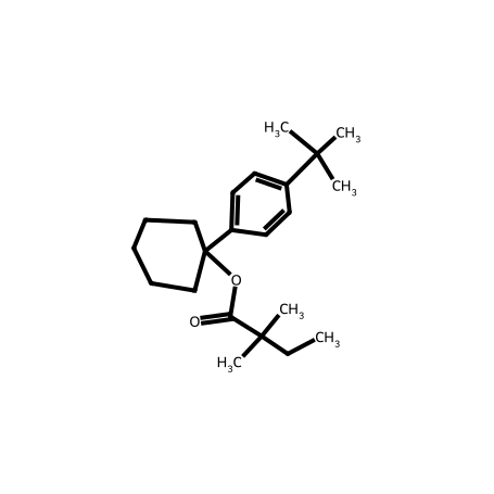 CCC(C)(C)C(=O)OC1(c2ccc(C(C)(C)C)cc2)CCCCC1